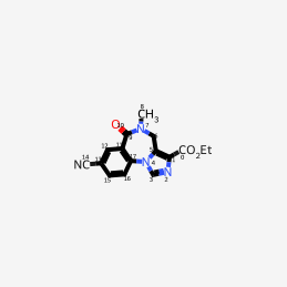 CCOC(=O)c1ncn2c1CN(C)C(=O)c1cc(C#N)ccc1-2